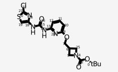 CC(C)(C)OC(=O)N1CC(COc2cccc(NC(=O)Nc3csc(Cl)n3)n2)C1